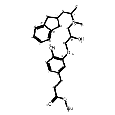 CCC(C)OC(=O)CCc1ccc(C#N)c(OCC(O)CN(C)C(C)CC2Cc3ccccc3C2)c1